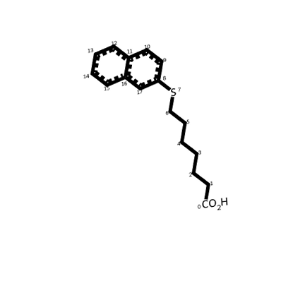 O=C(O)CCCCCCSc1ccc2ccccc2c1